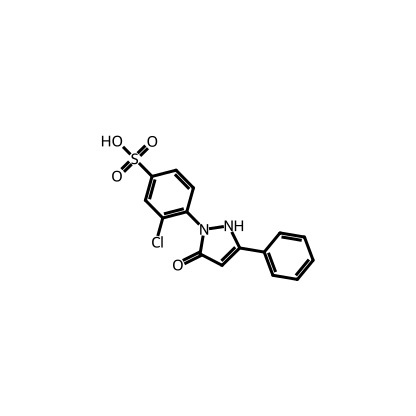 O=c1cc(-c2ccccc2)[nH]n1-c1ccc(S(=O)(=O)O)cc1Cl